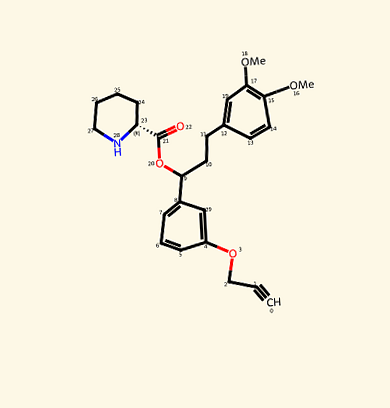 C#CCOc1cccc(C(CCc2ccc(OC)c(OC)c2)OC(=O)[C@H]2CCCCN2)c1